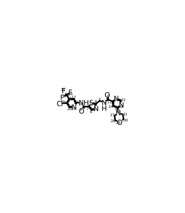 O=C(NCc1ncc(C(=O)Nc2cc(C(F)(F)F)c(Cl)cn2)s1)c1cc(N2CCOCC2)ncn1